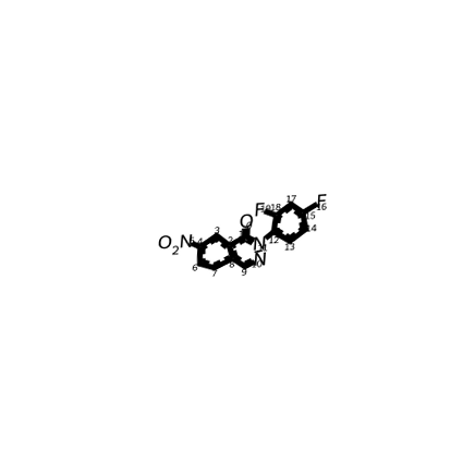 O=c1c2cc([N+](=O)[O-])ccc2cnn1-c1ccc(F)cc1F